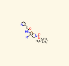 CC(C)(C)COC(=O)N1CCc2c(sc(NC(=O)C=Cc3cccnc3)c2C#N)C1